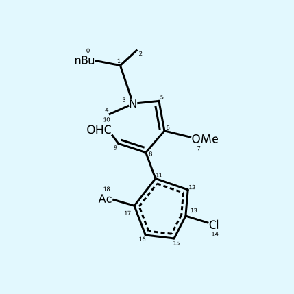 CCCCC(C)N(C)/C=C(OC)\C(=C/C=O)c1cc(Cl)ccc1C(C)=O